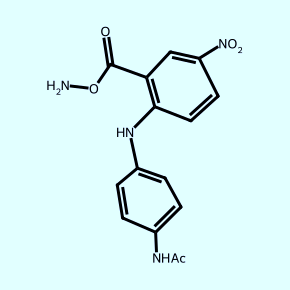 CC(=O)Nc1ccc(Nc2ccc([N+](=O)[O-])cc2C(=O)ON)cc1